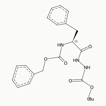 CC(C)(C)OC(=O)NNC(=O)[C@H](Cc1ccccc1)NC(=O)OCc1ccccc1